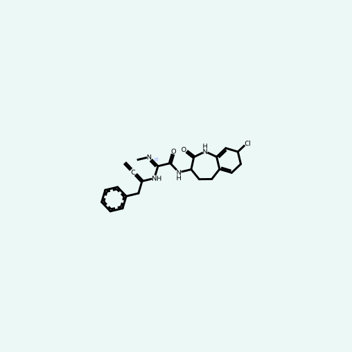 C=C=C(Cc1ccccc1)N/C(=N\C)C(=O)NC1CCC2=CCC(Cl)C=C2NC1=O